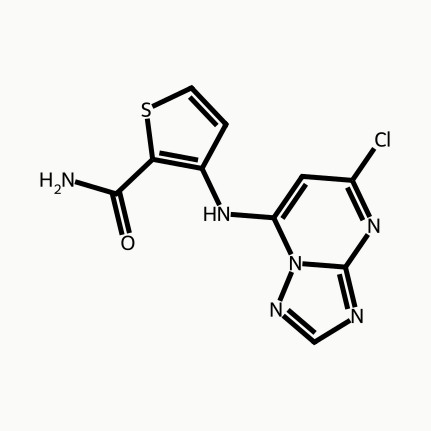 NC(=O)c1sccc1Nc1cc(Cl)nc2ncnn12